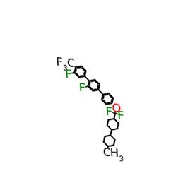 CC1CCC(C2CCC(C(F)(F)Oc3ccc(-c4ccc(-c5ccc(C(F)(F)F)c(F)c5)c(F)c4)cc3)CC2)CC1